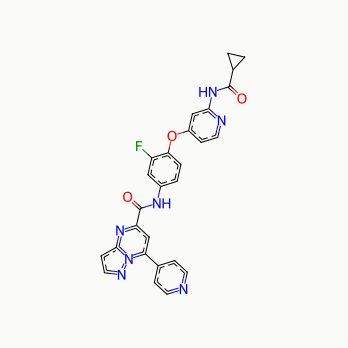 O=C(Nc1ccc(Oc2ccnc(NC(=O)C3CC3)c2)c(F)c1)c1cc(-c2ccncc2)n2nccc2n1